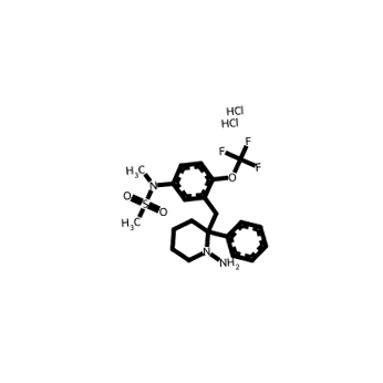 CN(c1ccc(OC(F)(F)F)c(CC2(c3ccccc3)CCCCN2N)c1)S(C)(=O)=O.Cl.Cl